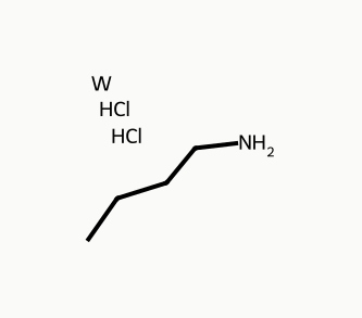 CCCCN.Cl.Cl.[W]